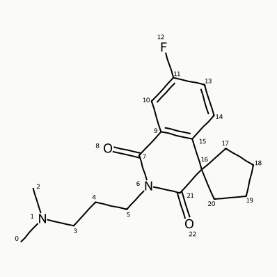 CN(C)CCCN1C(=O)c2cc(F)ccc2C2(CCCC2)C1=O